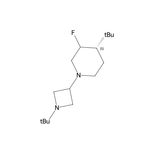 CC(C)(C)[C@@H]1CCN(C2CN(C(C)(C)C)C2)CC1F